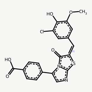 COc1cc(/C=c2/sc3ncc(-c4ccc(C(=O)O)cc4)n3c2=O)cc(Cl)c1O